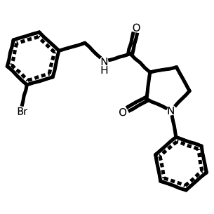 O=C(NCc1cccc(Br)c1)C1CCN(c2ccccc2)C1=O